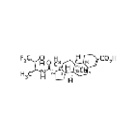 CC(NC(=O)[C@H]1CC[C@H]2[C@@H]3CC=C4C=C(C(=O)O)CC[C@]4(C)[C@H]3CC[C@]12C)C(O)C(F)(F)F